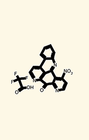 O=C(O)C(F)(F)F.O=C1c2nccc([N+](=O)[O-])c2-c2nc3ccccc3c3ccnc1c23